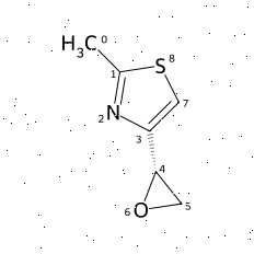 Cc1nc([C@@H]2CO2)cs1